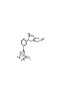 CN[C@@H](CN1CC[C@H](O)C1)c1cccc(C#C[Si](C)(C)C)c1